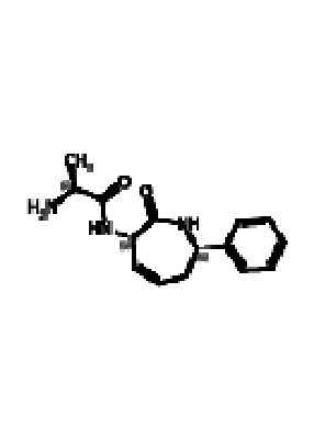 C[C@H](N)C(=O)N[C@H]1C=CC[C@@H](c2ccccc2)NC1=O